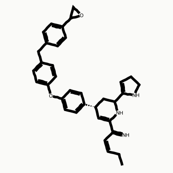 CC/C=C\C(=N)C1=C[C@H](c2ccc(Oc3ccc(Cc4ccc(C5CO5)cc4)cc3)cc2)CC(C2=CCCN2)N1